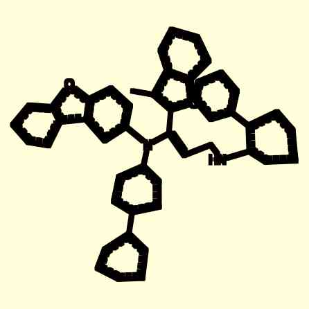 Cc1c(/C(=C\CNc2ccccc2-c2ccccc2)N(c2ccc(-c3ccccc3)cc2)c2ccc3oc4ccccc4c3c2)oc2ccccc12